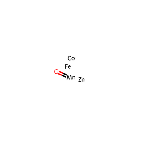 [Co].[Fe].[O]=[Mn].[Zn]